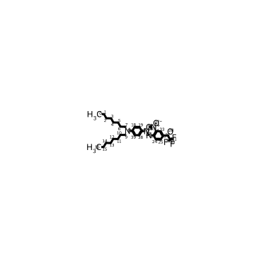 CCCCCCCCN(CCCCCCCC)c1ccc(/N=N/c2ccc(C(=O)C(F)(F)F)cc2[N+](=O)[O-])cc1